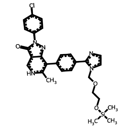 Cc1[nH]cc2c(=O)n(-c3ccc(Cl)cc3)nc-2c1-c1ccc(-c2nccn2COCCO[Si](C)(C)C)cc1